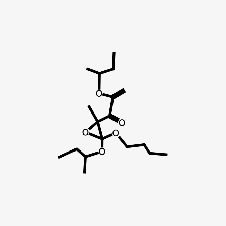 C=C(OC(C)CC)C(=O)C1(C)OC1(OCCCC)OC(C)CC